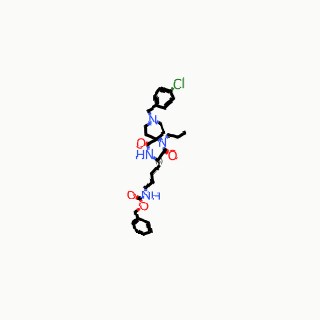 CCCN1C(=O)[C@H](CCCCNC(=O)OCc2ccccc2)NC(=O)C12CCN(Cc1ccc(Cl)cc1)CC2